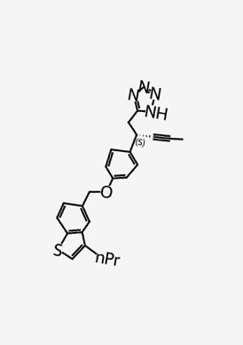 CC#C[C@@H](Cc1nnn[nH]1)c1ccc(OCc2ccc3scc(CCC)c3c2)cc1